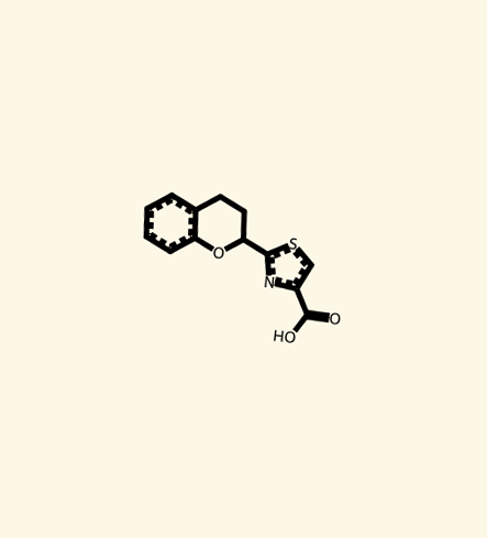 O=C(O)c1csc(C2CCc3ccccc3O2)n1